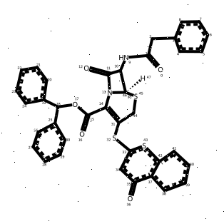 O=C(Cc1ccccc1)NC1C(=O)N2C(C(=O)OC(c3ccccc3)c3ccccc3)=C(Sc3cc(=O)c4ccccc4s3)CS[C@H]12